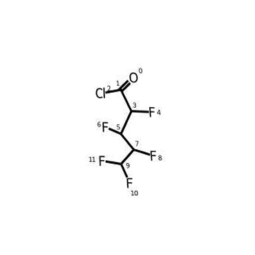 O=C(Cl)C(F)C(F)C(F)C(F)F